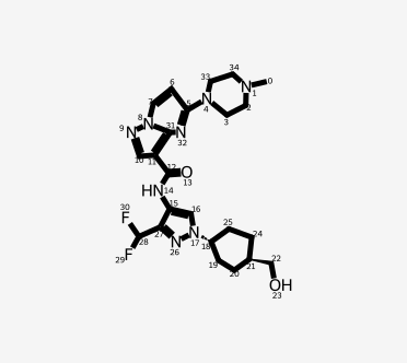 CN1CCN(c2ccn3ncc(C(=O)Nc4cn([C@H]5CC[C@H](CO)CC5)nc4C(F)F)c3n2)CC1